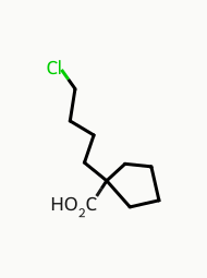 O=C(O)C1(CCCCCl)CCCC1